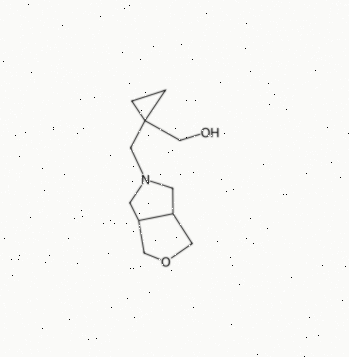 OCC1(CN2CC3COCC3C2)CC1